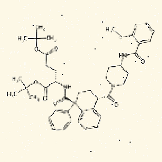 COc1ccccc1C(=O)NC1CCN(C(=O)[C@H]2CC[C@@](C(=O)N[C@@H](CCC(=O)OC(C)(C)C)C(=O)OC(C)(C)C)(c3ccccc3)c3ccccc32)CC1